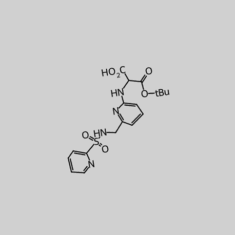 CC(C)(C)OC(=O)C(Nc1cccc(CNS(=O)(=O)c2ccccn2)n1)C(=O)O